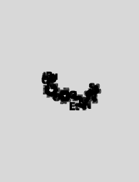 CCc1cnc(-c2cc3sccc3n2C)n1CCOc1ccc(OC2CCCN(C(=O)OC(C)(C)C)CC2)cc1